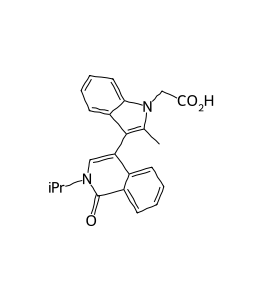 Cc1c(-c2cn(C(C)C)c(=O)c3ccccc23)c2ccccc2n1CC(=O)O